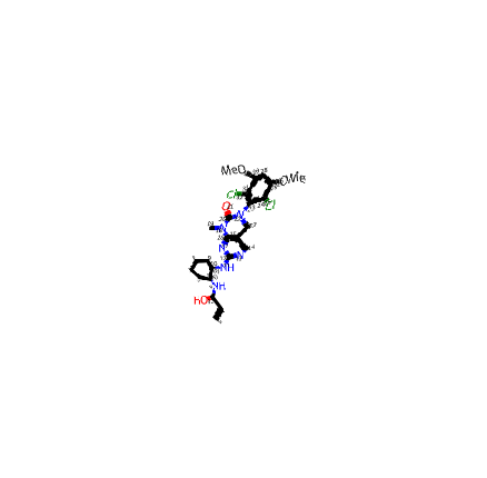 C=CC(O)N[C@H]1CCCC[C@H]1Nc1ncc2c(n1)N(C)C(=O)N(c1c(Cl)c(OC)cc(OC)c1Cl)C2